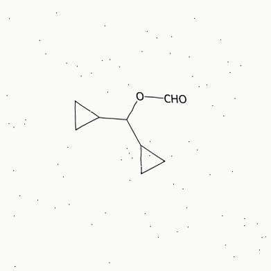 O=COC(C1CC1)C1CC1